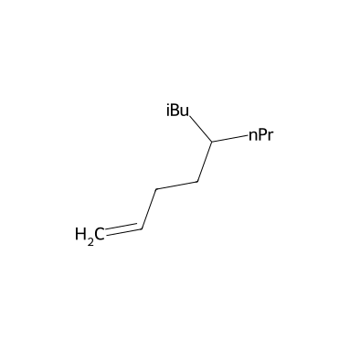 C=CCCC(CCC)C(C)CC